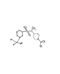 CC(C1CCN(C(=O)O)CC1)S(=O)(=O)c1cccc(C(F)(F)F)c1